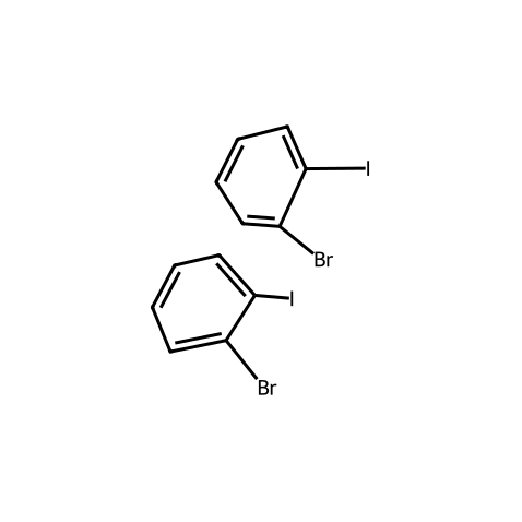 Brc1ccccc1I.Brc1ccccc1I